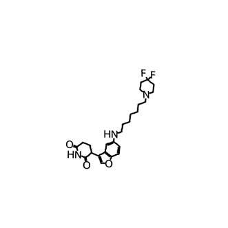 O=C1CCC(c2coc3ccc(NCCCCCCCN4CCC(F)(F)CC4)cc23)C(=O)N1